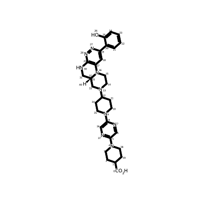 O=C(O)C1CCN(c2cnc(N3CCC(N4CCN5c6cc(-c7ccccc7O)nnc6NC[C@H]5C4)CC3)cn2)CC1